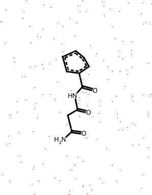 NC(=O)CC(=O)NC(=O)c1ccccc1